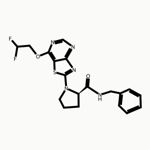 O=C(NCc1ccccc1)[C@H]1CCCN1c1nc2ncnc(OCC(F)F)c2s1